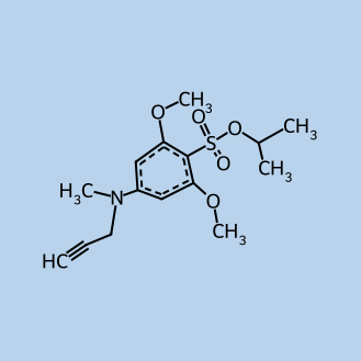 C#CCN(C)c1cc(OC)c(S(=O)(=O)OC(C)C)c(OC)c1